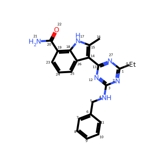 CCc1nc(NCc2ccccc2)nc(-c2c(C)[nH]c3c(C(N)=O)cccc23)n1